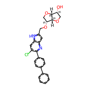 O[C@@H]1CO[C@H]2[C@@H]1OC[C@H]2OCc1cc2nc(-c3ccc(-c4ccccc4)cc3)c(Cl)cc2[nH]1